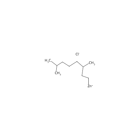 CC(C)CCCC(C)C[CH2][Zn+].[Cl-]